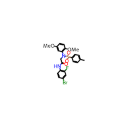 COc1ccc(OC)c(N(CC(=O)Nc2ccc(Br)cc2F)S(=O)(=O)c2ccc(C)cc2)c1